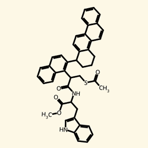 COC(=O)C(Cc1c[nH]c2ccccc12)NC(=O)C(CSC(C)=O)c1c(C2CCCc3c2ccc2c3ccc3ccccc32)ccc2ccccc12